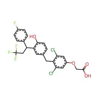 O=C(O)COc1cc(Cl)c(Cc2ccc(O)c(C(CC(F)(F)F)c3ccc(F)cc3)c2)c(Cl)c1